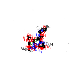 CCCCOc1c(C)ccc(C(=O)Nc2cccc(CNC3(C)CC(OC4c5ccc(c(Cl)c5)Oc5cc6cc(c5OC5CC(CO)C(O)C(O)C5O)Oc5ccc(cc5Cl)C(O)C(NC(=O)C(CC(C)C)NC)C(=O)NC(CC(N)=O)C(=O)NC6C(=O)NC5C(=O)NC4C(=O)N[C@@H](C(=O)O)c4cc(O)cc(O)c4-c4cc5ccc4O)OC(C)C3O)c2)c1[N+](=O)[O-]